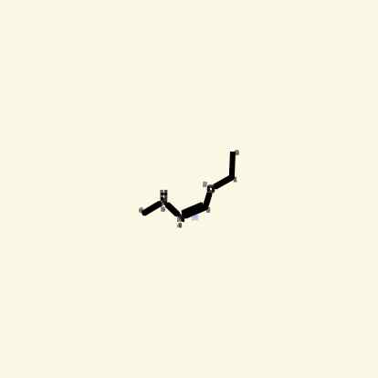 CCO/C=N\NC